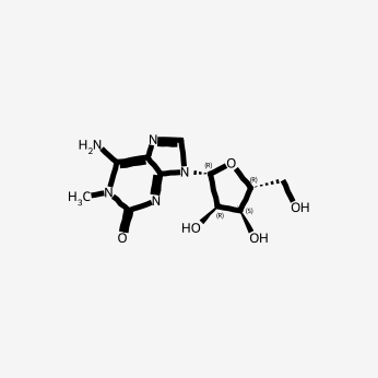 Cn1c(N)c2ncn([C@@H]3O[C@H](CO)[C@@H](O)[C@H]3O)c2nc1=O